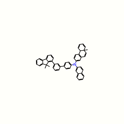 CC1(C)c2ccccc2-c2cccc(-c3cccc(-c4ccc(N(c5ccc6c(c5)C=CC5(C)C=CC=CC65)c5ccc6ccccc6c5)cc4)c3)c21